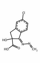 C=NN=C1c2ccc(Cl)cc2CC1(O)C(=O)O